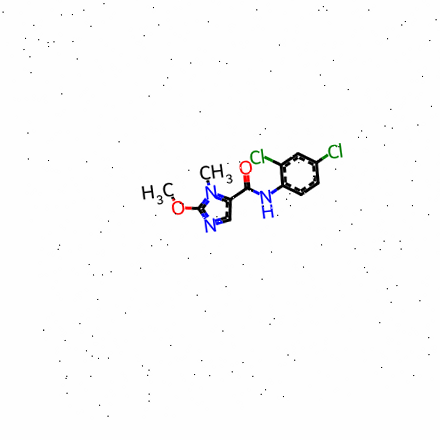 COc1ncc(C(=O)Nc2ccc(Cl)cc2Cl)n1C